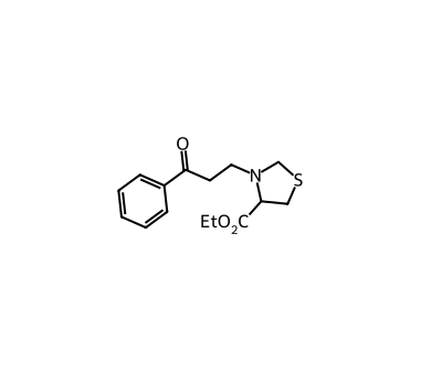 CCOC(=O)C1CSCN1CCC(=O)c1ccccc1